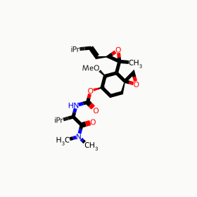 CO[C@H]1C(C2(C)O[C@@H]2/C=C/C(C)C)[C@]2(CC[C@H]1OC(=O)NC(C(=O)N(C)C)C(C)C)CO2